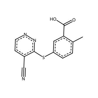 Cc1ccc(Sc2nnccc2C#N)cc1C(=O)O